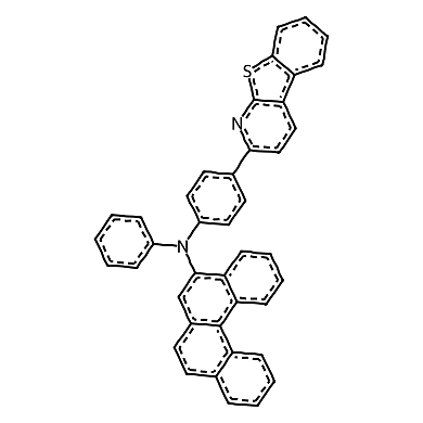 c1ccc(N(c2ccc(-c3ccc4c(n3)sc3ccccc34)cc2)c2cc3ccc4ccccc4c3c3ccccc23)cc1